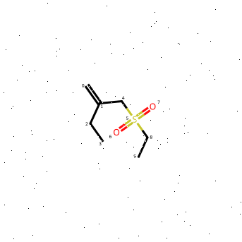 C=C(CC)CS(=O)(=O)CC